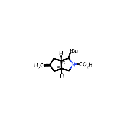 C=C1C[C@H]2CN(C(=O)O)C(C(C)(C)C)[C@H]2C1